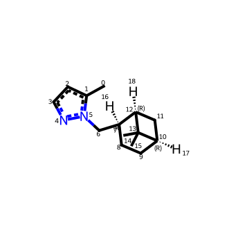 Cc1ccnn1C[C@@H]1CC[C@@H]2C[C@H]1C2(C)C